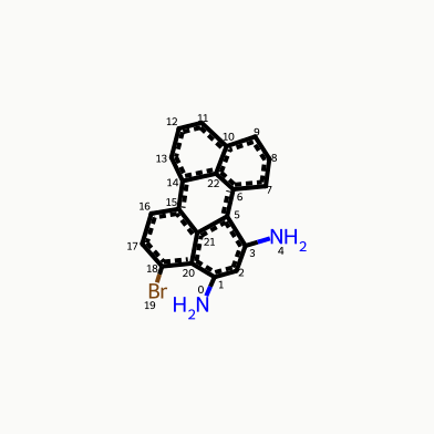 Nc1cc(N)c2c3cccc4cccc(c5ccc(Br)c1c52)c43